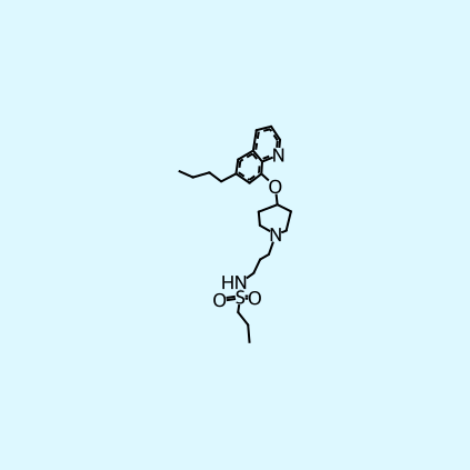 CCCCc1cc(OC2CCN(CCCNS(=O)(=O)CCC)CC2)c2ncccc2c1